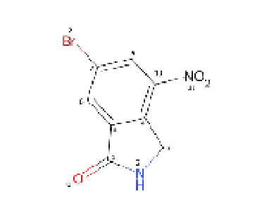 O=C1NCc2c1cc(Br)cc2[N+](=O)[O-]